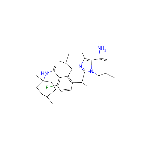 C=C(NC1(C)CCC(C)CC1)c1c(F)ccc(C(C)c2nc(C)c(C(=C)N)n2CCC)c1CC(C)C